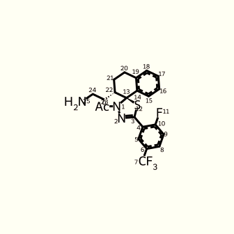 CC(=O)N1N=C(c2cc(C(F)(F)F)ccc2F)S[C@@]12c1ccccc1CC[C@H]2CCN